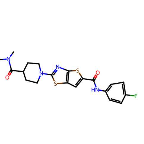 CN(C)C(=O)C1CCN(c2nc3sc(C(=O)Nc4ccc(F)cc4)cc3s2)CC1